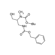 CN(C(=O)OC(C)(C)C)C(CO)CNC(=O)OCc1ccccc1